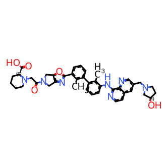 Cc1c(Nc2nccc3cc(CN4CC[C@@H](O)C4)cnc23)cccc1-c1cccc(-c2nc3c(o2)CN(C(=O)CN2CCCC[C@H]2C(=O)O)C3)c1C